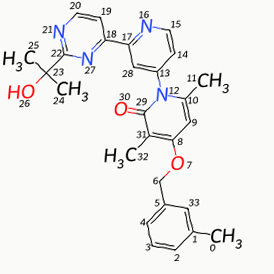 Cc1cccc(COc2cc(C)n(-c3ccnc(-c4ccnc(C(C)(C)O)n4)c3)c(=O)c2C)c1